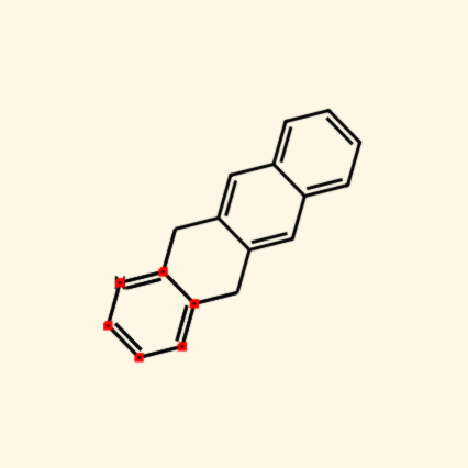 c1ccc2c(c1)C1c3cc4ccccc4cc3C2c2ncccc21